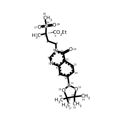 CCOC(=O)[C@@](C)(CCn1cnc2cc(B3OC(C)(C)C(C)(C)O3)ccc2c1=O)S(C)(=O)=O